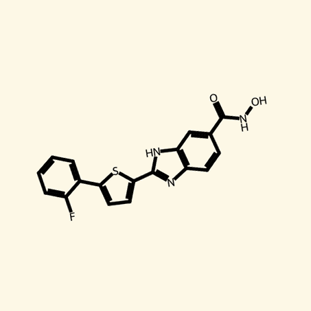 O=C(NO)c1ccc2nc(-c3ccc(-c4ccccc4F)s3)[nH]c2c1